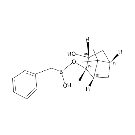 CC1(C)[C@@H]2C[C@@H](O)[C@@](C)(OB(O)Cc3ccccc3)[C@H]1C2